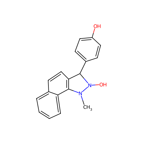 CN1c2c(ccc3ccccc23)C(c2ccc(O)cc2)N1O